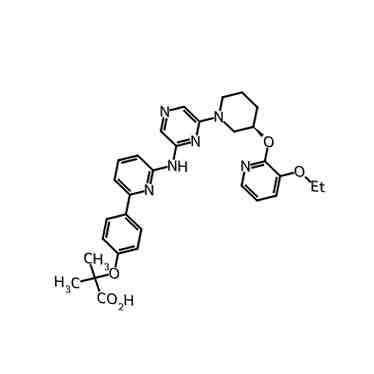 CCOc1cccnc1O[C@@H]1CCCN(c2cncc(Nc3cccc(-c4ccc(OC(C)(C)C(=O)O)cc4)n3)n2)C1